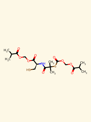 CC(C)C(=O)OCOC(=O)SC(C)(C)C(=O)N[C@@H](CS)C(=O)OCOC(=O)C(C)C